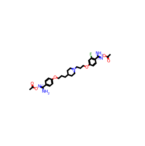 CC(=O)O/N=C(\N)c1ccc(OCCCC2CCN(CCCOc3ccc(/C(N)=N/OC(C)=O)c(F)c3)CC2)cc1